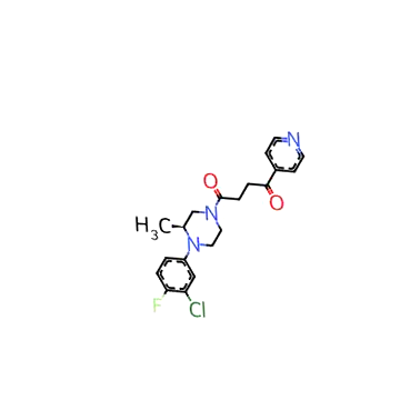 C[C@H]1CN(C(=O)CCC(=O)c2ccncc2)CCN1c1ccc(F)c(Cl)c1